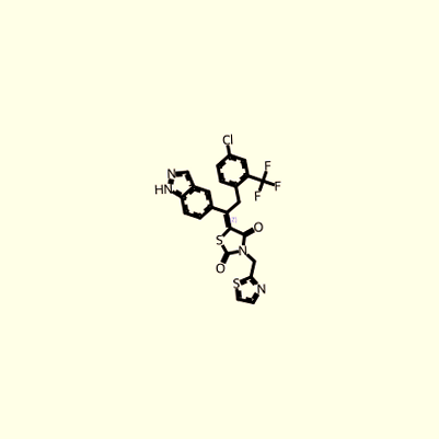 O=C1S/C(=C(/Cc2ccc(Cl)cc2C(F)(F)F)c2ccc3[nH]ncc3c2)C(=O)N1Cc1nccs1